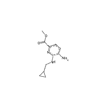 COC(=O)c1ccc(N)c(NCC2CC2)n1